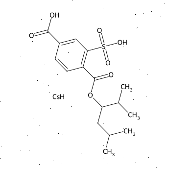 CC(C)CC(OC(=O)c1ccc(C(=O)O)cc1S(=O)(=O)O)C(C)C.[CsH]